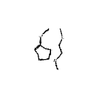 COC1CCCC1.COCCOC